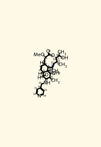 CO[C@H]1C[C@H]2C=C[C@H]3[C@H]4O[C@]2(/C(C)=C/[C@@H](C)[C@@H]([C@@H](C)O)OC1=O)[C@@H]3[C@H](O)C(C)[C@@H]4NCc1ccncc1